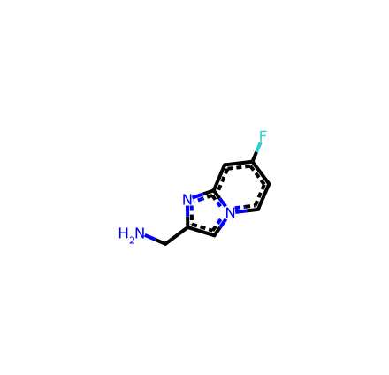 NCc1cn2ccc(F)cc2n1